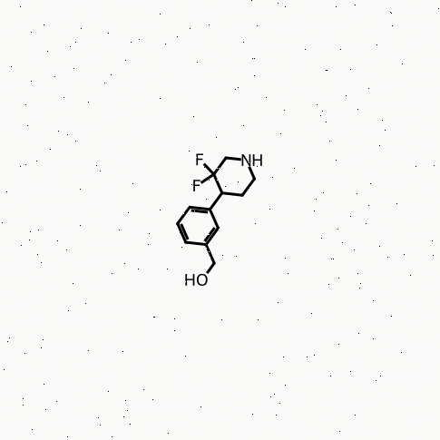 OCc1cccc(C2CCNCC2(F)F)c1